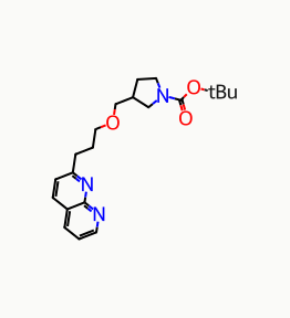 CC(C)(C)OC(=O)N1CCC(COCCCc2ccc3cccnc3n2)C1